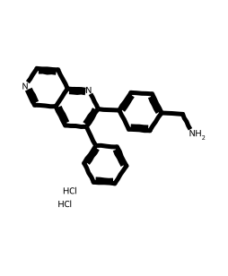 Cl.Cl.NCc1ccc(-c2nc3ccncc3cc2-c2ccccc2)cc1